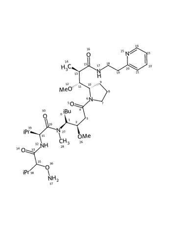 CC[C@H](C)[C@@H]([C@@H](CC(=O)N1CCC[C@H]1[C@H](OC)[C@@H](C)C(=O)NCCc1ccccn1)OC)N(C)C(=O)[C@@H](NC(=O)C(ON)C(C)C)C(C)C